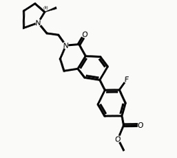 COC(=O)c1ccc(-c2ccc3c(c2)CCN(CCN2CCC[C@H]2C)C3=O)c(F)c1